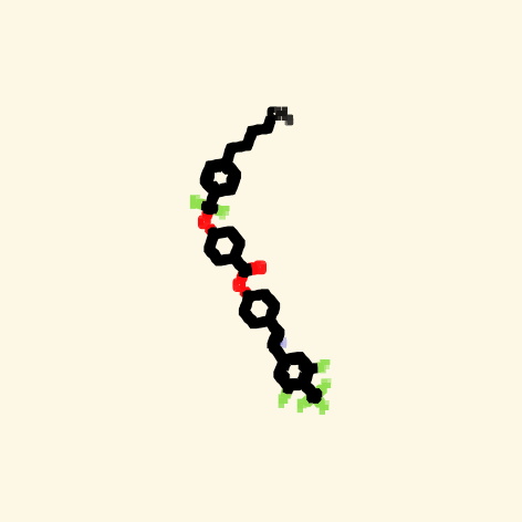 CCCCCc1ccc(C(F)(F)OC2CCC(C(=O)OC3CCC(/C=C/c4cc(F)c(C(F)(F)F)c(F)c4)CC3)CC2)cc1